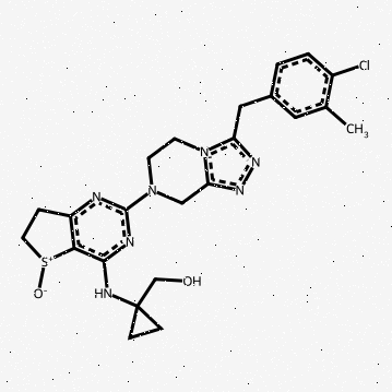 Cc1cc(Cc2nnc3n2CCN(c2nc4c(c(NC5(CO)CC5)n2)[S+]([O-])CC4)C3)ccc1Cl